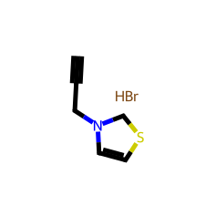 Br.C#CCN1C=CSC1